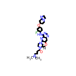 CN(C)C/C=C/C(=O)N1CCN2C[C@H]1COc1cc3ncnc(Nc4ccc(Oc5ccn6ccnc6c5)cc4F)c3nc12